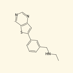 CCNCc1cccc(-c2cc3ncn[c]c3s2)c1